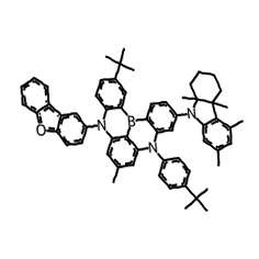 Cc1cc2c3c(c1)N(c1ccc(C(C)(C)C)cc1)c1cc(N4c5cc(C)cc(C)c5C5(C)CCCCC45C)ccc1B3c1cc(C(C)(C)C)ccc1N2c1ccc2oc3ccccc3c2c1